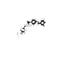 Nc1cnc(CN[C@@H]2C[C@H]2c2ccc(OCc3ccccc3)cc2)nc1